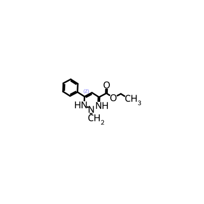 C=NN/C(=C\C(=N)C(=O)OCC)c1ccccc1